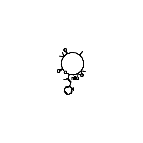 CCCCC12CC(C(C)=Cc3ccccn3)OC(=O)CCC(C)(C)C(=O)CCC(C)CCCC1(C)O2